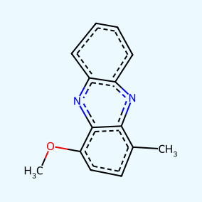 COc1ccc(C)c2nc3ccccc3nc12